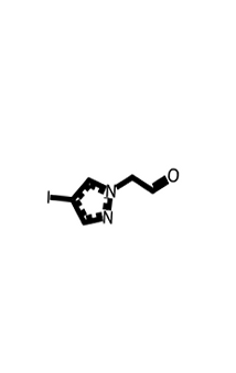 O=CCn1cc(I)cn1